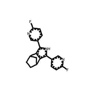 Fc1ccc(-c2[nH]c(-c3ccc(F)nc3)c3c2C2CCC3C2)cn1